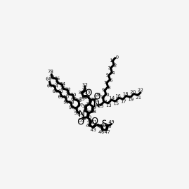 CCCCCCCCCCCCC(CCCCCCCCCC)CN1C(=O)C(c2ccc(C)o2)=c2cc3c(cc21)=C(c1ccc(-c2ccc(C)s2)o1)C(=O)N3CC(CCCCCCCCCC)CCCCCCCCCCCC